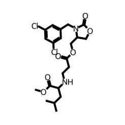 COC(=O)C(CC(C)C)NCCC(=O)OCC1COC(=O)N1Cc1cc(Cl)cc(Cl)c1